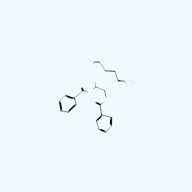 N#CCCCCN.O=C(O[C@@H](C(=O)O)[C@@H](OC(=O)c1ccccc1)C(=O)O)c1ccccc1